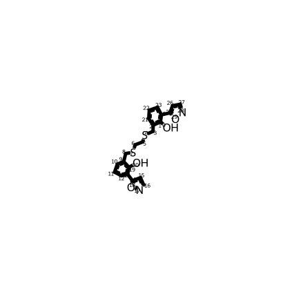 Oc1c(CSCCSCc2cccc(-c3ccno3)c2O)cccc1-c1ccno1